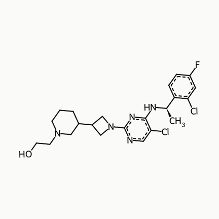 C[C@@H](Nc1nc(N2CC(C3CCCN(CCO)C3)C2)ncc1Cl)c1ccc(F)cc1Cl